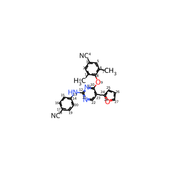 Cc1cc(C#N)cc(C)c1Oc1nc(Nc2ccc(C#N)cc2)ncc1-c1ccco1